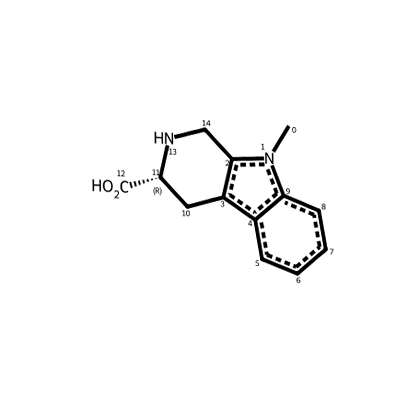 Cn1c2c(c3ccccc31)C[C@H](C(=O)O)NC2